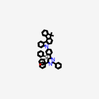 CC1(C)c2ccccc2-c2c1ccc1c2c2ccccc2n1-c1ccc2c(c1)[Si](c1ccccc1)(c1ccccc1)c1c(-c3ccccc3)nc(-c3ccccc3)nc1-2